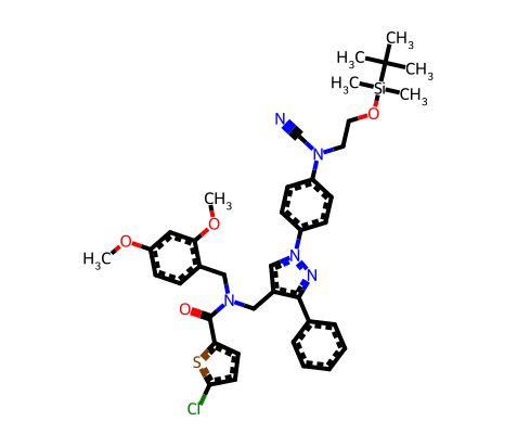 COc1ccc(CN(Cc2cn(-c3ccc(N(C#N)CCO[Si](C)(C)C(C)(C)C)cc3)nc2-c2ccccc2)C(=O)c2ccc(Cl)s2)c(OC)c1